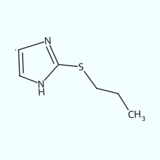 CCCSc1n[c]c[nH]1